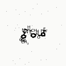 C[C@H](Nc1cncc(-c2ccc(S(C)(=O)=O)cc2)n1)Sc1cccc(NC(=O)c2cccc(C(F)(F)F)c2)c1